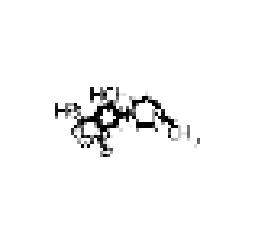 CCN1CCCN(c2ccc(C(=O)O)c([N+](=O)[O-])c2)CC1.Cl